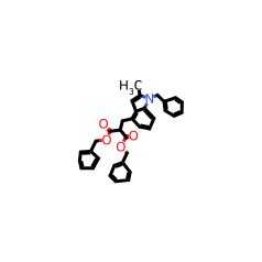 Cc1cc2c(CC(C(=O)OCc3ccccc3)C(=O)OCc3ccccc3)cccc2n1Cc1ccccc1